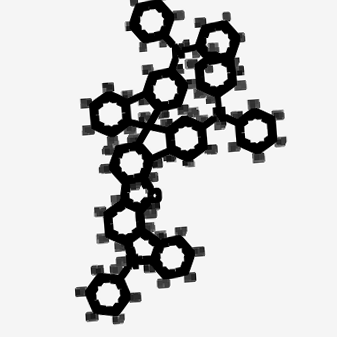 c1ccc(N(c2ccccc2)c2ccc3c(c2)-c2ccccc2C32c3cc(N(c4ccccc4)c4ccccc4)ccc3-c3c2ccc2c3oc3c2ccc2c3c3ccccc3n2-c2ccccc2)cc1